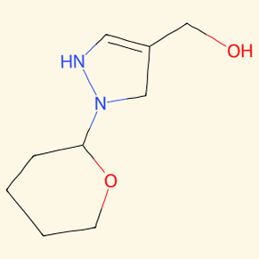 OCC1=CNN(C2CCCCO2)C1